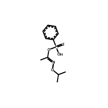 CC(=NOC(C)C)OP(O)(=S)c1ccccc1